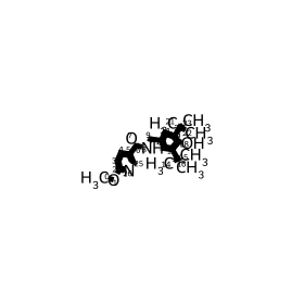 COc1ccc(C(=O)NCc2cc(C(C)(C)C)c(O)c(C(C)(C)C)c2)cn1